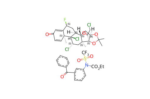 CC1(C)O[C@@H]2C[C@H]3[C@@H]4C[C@H](F)C5=CC(=O)C=C[C@]5(C)[C@@]4(Cl)[C@@H](Cl)C[C@]3(C)[C@]2(C(=O)CCl)O1.CCOC(=O)N(c1cccc(C(=O)c2ccccc2)c1)S(=O)(=O)C(F)(F)F